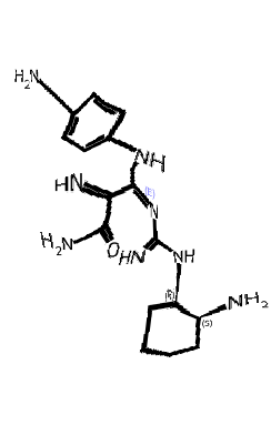 N=C(/N=C(/Nc1ccc(N)cc1)C(=N)C(N)=O)N[C@@H]1CCCC[C@@H]1N